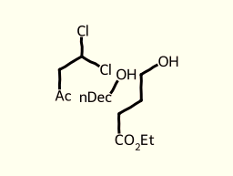 CC(=O)CC(Cl)Cl.CCCCCCCCCCO.CCOC(=O)CCCO